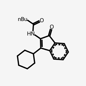 CCCCC(=O)NC1=C(C2CCCCC2)c2ccccc2C1=O